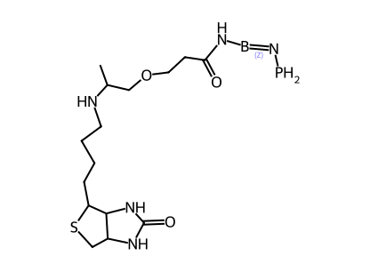 CC(COCCC(=O)N/B=N\P)NCCCCC1SCC2NC(=O)NC21